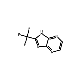 FC(F)(F)c1nc2nccnc2[nH]1